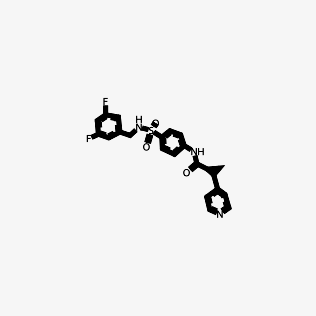 O=C(Nc1ccc(S(=O)(=O)NCc2cc(F)cc(F)c2)cc1)C1CC1c1ccncc1